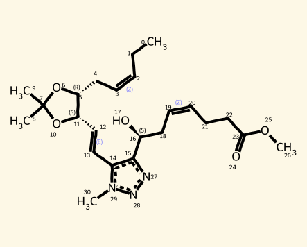 CC/C=C\C[C@H]1OC(C)(C)O[C@H]1/C=C/c1c([C@@H](O)C/C=C\CCC(=O)OC)nnn1C